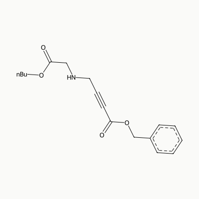 CCCCOC(=O)CNCC#CC(=O)OCc1ccccc1